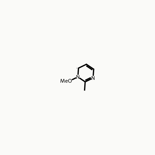 CON1[CH]C=CN=C1C